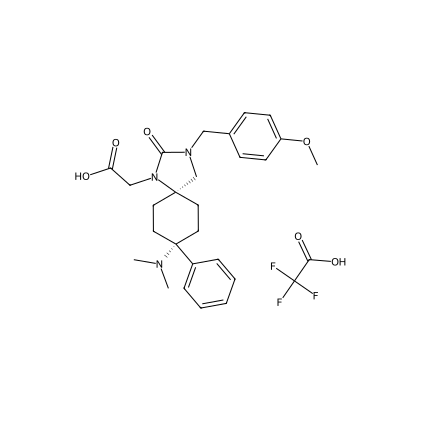 COc1ccc(CN2C[C@]3(CC[C@@](c4ccccc4)(N(C)C)CC3)N(CC(=O)O)C2=O)cc1.O=C(O)C(F)(F)F